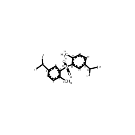 Cc1ccc(C(I)I)cc1S(=O)(=O)c1cc(C(I)I)ccc1C